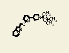 CC(C)(C)OC(=O)N1CCC(c2cccc(OCc3cc4ccccn4n3)n2)CC1